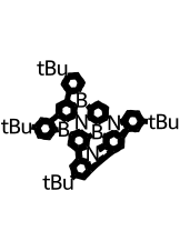 CC(C)(C)c1ccc2c(c1)-c1cc3c4c5c1B2c1ccc2c6c1N5c1c(cc5c7cc(C(C)(C)C)cc8c9cc%10c%11cc(C(C)(C)C)ccc%11n-2c%10c2c9n(c5c1B62)c78)B4c1ccc(C(C)(C)C)cc1-3